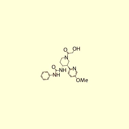 COc1ccc([C@@H]2CN(C(=O)CO)CC[C@H]2NC(=O)Nc2ccccc2)nc1